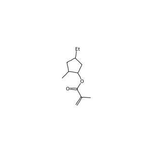 C=C(C)C(=O)OC1CC(CC)CC1C